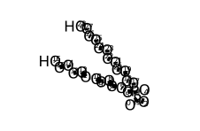 O=P(=O)P(=O)(OOOOOOOOOOOO)OOOOOOOOOOOO